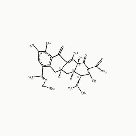 CC(=NOC(C)(C)C)c1cc(N)c(O)c2c1C[C@H]1C[C@H]3[C@H](N(C)C)C(O)=C(C(N)=O)C(=O)[C@@]3(O)C(O)=C1C2=O